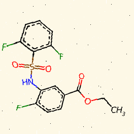 CCOC(=O)c1ccc(F)c(NS(=O)(=O)c2c(F)cccc2F)c1